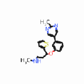 CNCCC(Oc1cccc(-c2cnc(C)nc2)c1)c1cccs1